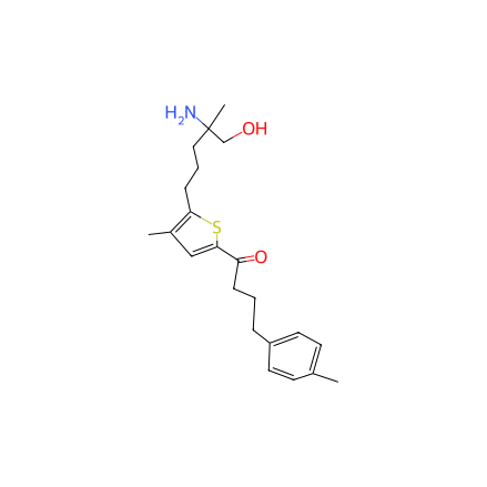 Cc1ccc(CCCC(=O)c2cc(C)c(CCCC(C)(N)CO)s2)cc1